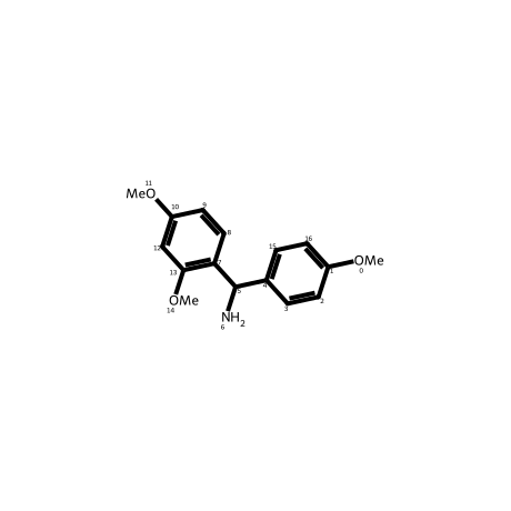 COc1ccc(C(N)c2ccc(OC)cc2OC)cc1